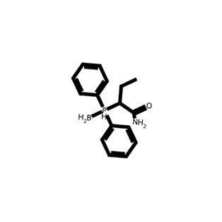 B[PH](c1ccccc1)(c1ccccc1)C(CC)C(N)=O